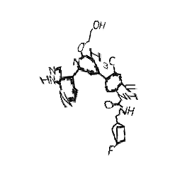 Cc1cc(F)c(NC(=O)NCC2CC3(F)CC2C3)cc1-c1cc(OCCO)nc(-c2ccnc3[nH]ncc23)c1